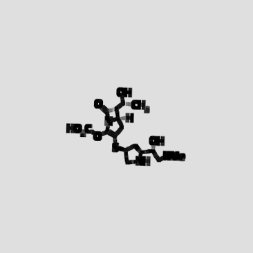 CNC[C@@H](O)[C@@H]1C[C@H](SC2=C(OC(=O)O)N3C(=O)[C@H]([C@@H](C)O)[C@H]3C2)CN1